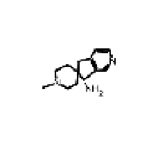 CN1CCC2(CC1)Cc1ccncc1[C@@H]2N